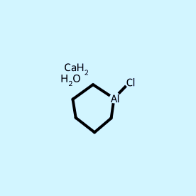 O.[CaH2].[Cl][Al]1[CH2]CCC[CH2]1